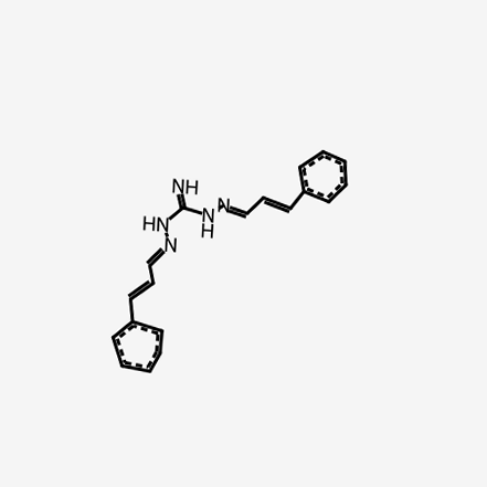 N=C(N/N=C/C=C/c1ccccc1)N/N=C/C=C/c1ccccc1